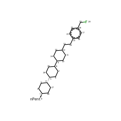 CCCCC[C@H]1CC[C@H](C2CCC(C3CCC(CCc4ccc(CF)cc4)CC3)CC2)CC1